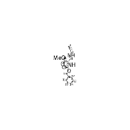 C#CCNCC(NC(=O)OCc1ccccc1)C(=O)OC